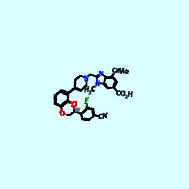 COc1cc(C(=O)O)cc2c1nc(CN1CCC(c3cccc4c3O[C@@H](c3ccc(C#N)cc3F)CO4)CC1)n2C